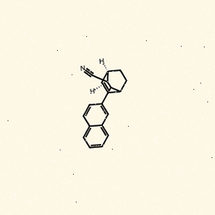 N#C[C@@H]1C(c2ccc3ccccc3c2)C2C=C[C@H]1CC2